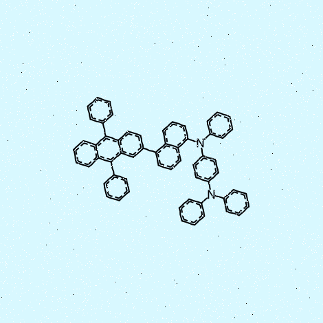 c1ccc(-c2c3ccccc3c(-c3ccccc3)c3cc(-c4cccc5c(N(c6ccccc6)c6ccc(N(c7ccccc7)c7ccccc7)cc6)cccc45)ccc23)cc1